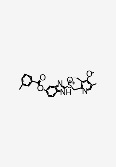 COc1c(C)cnc(C[S+]([O-])c2nc3cc(OC(=O)c4cccc(C)c4)ccc3[nH]2)c1C